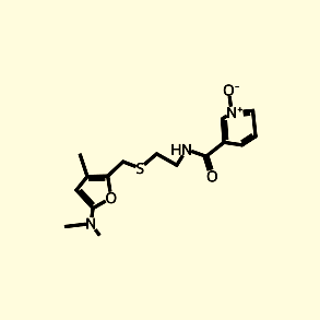 Cc1cc(N(C)C)oc1CSCCNC(=O)c1ccc[n+]([O-])c1